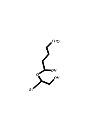 CCC(CO)OC(O)CCCC=O